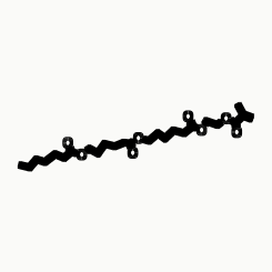 C=C(C)C(=O)OCCOC(=O)CCCCCOC(=O)CCCCCOC(=O)CCCCCC